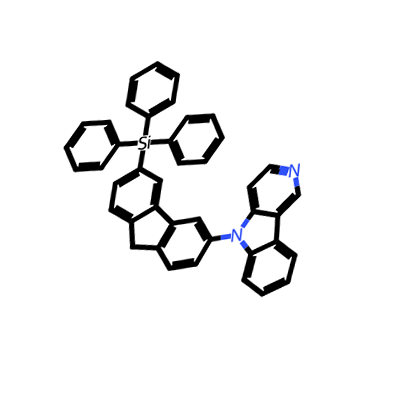 c1ccc([Si](c2ccccc2)(c2ccccc2)c2ccc3c(c2)-c2cc(-n4c5ccccc5c5cnccc54)ccc2C3)cc1